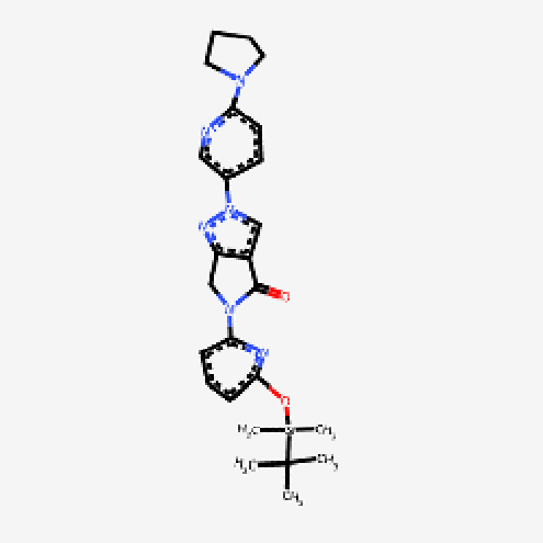 CC(C)(C)[Si](C)(C)Oc1cccc(N2Cc3nn(-c4ccc(N5CCCC5)nc4)cc3C2=O)n1